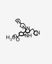 COC(=O)c1ccc2c(c1)[nH]c1cc(Cc3cccnc3)nc(N3CCC(N4CCCC4)CC3)c12